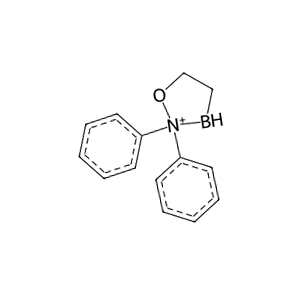 B1CCO[N+]1(c1ccccc1)c1ccccc1